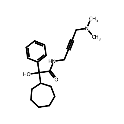 CN(C)CC#CCNC(=O)C(O)(c1ccccc1)C1CCCCCC1